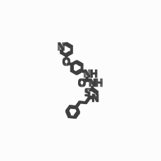 O=C(Nc1ccc(Oc2cccnc2)cc1)Nc1cnc(CCc2ccccc2)s1